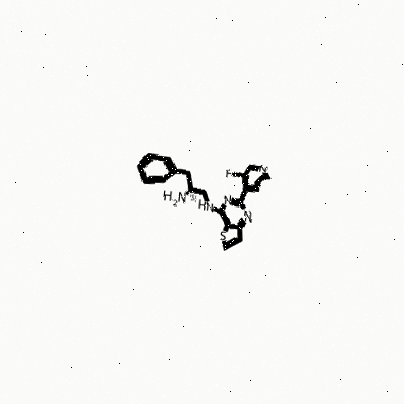 N[C@H](CNc1nc(-c2ccncc2F)nc2ccsc12)Cc1ccccc1